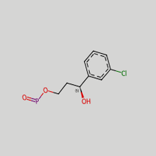 O=POCC[C@H](O)c1cccc(Cl)c1